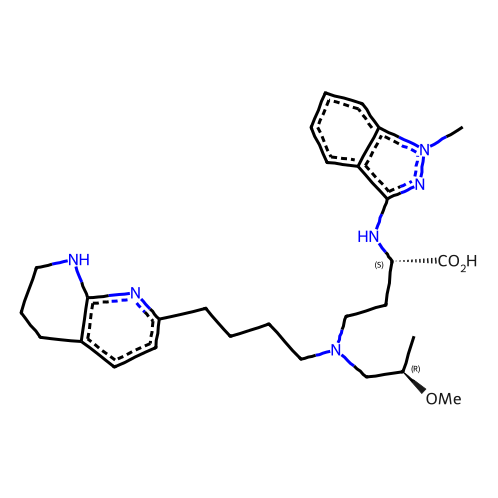 CO[C@H](C)CN(CCCCc1ccc2c(n1)NCCC2)CC[C@H](Nc1nn(C)c2ccccc12)C(=O)O